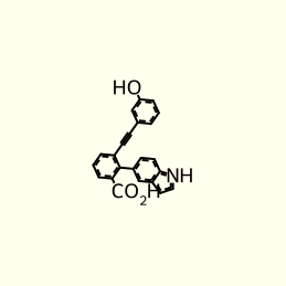 O=C(O)c1cccc(C#Cc2cccc(O)c2)c1-c1ccc2[nH]ccc2c1